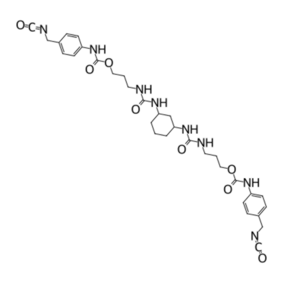 O=C=NCc1ccc(NC(=O)OCCCNC(=O)NC2CCCC(NC(=O)NCCCOC(=O)Nc3ccc(CN=C=O)cc3)C2)cc1